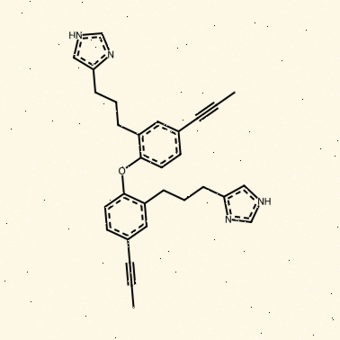 CC#Cc1ccc(Oc2ccc(C#CC)cc2CCCc2c[nH]cn2)c(CCCc2c[nH]cn2)c1